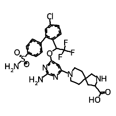 Nc1nc(OC(c2ccc(Cl)cc2-c2ccc(S(N)(=O)=O)cc2)C(F)(F)F)cc(N2CCC3(CC2)CNC(C(=O)O)C3)n1